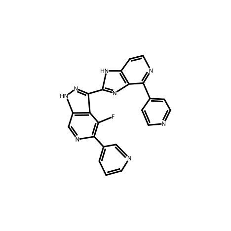 Fc1c(-c2cccnc2)ncc2[nH]nc(-c3nc4c(-c5ccncc5)nccc4[nH]3)c12